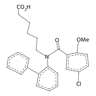 COc1ccc(Cl)cc1C(=O)N(CCCCCC(=O)O)c1ccccc1-c1ccccc1